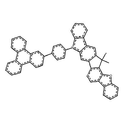 CC1(C)c2cc3c4ccccc4n(-c4ccc(-c5ccc6c7ccccc7c7ccccc7c6c5)cc4)c3cc2-c2ccc3c(oc4ccccc43)c21